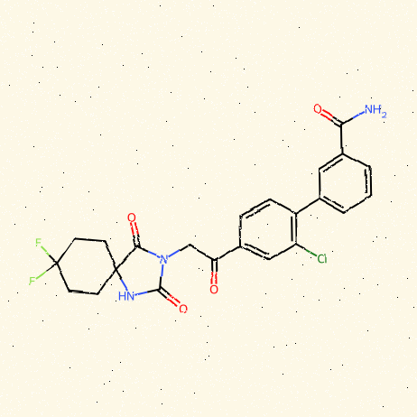 NC(=O)c1cccc(-c2ccc(C(=O)CN3C(=O)NC4(CCC(F)(F)CC4)C3=O)cc2Cl)c1